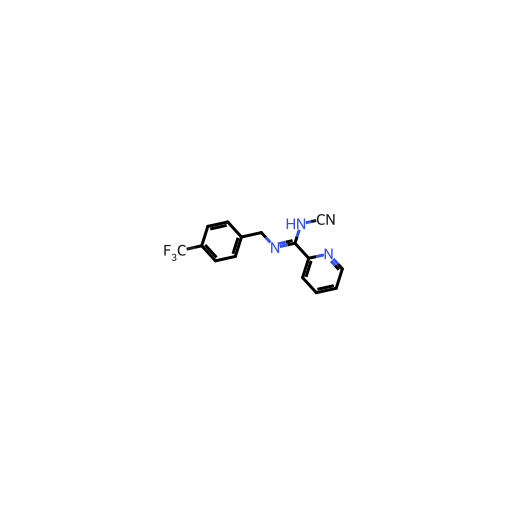 N#CN/C(=N\Cc1ccc(C(F)(F)F)cc1)c1ccccn1